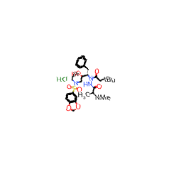 CN[C@@H](C)C(=O)NN(C(=O)CC(C)(C)C)[C@@H](Cc1ccccc1)[C@H](O)CN(CC(C)C)S(=O)(=O)c1ccc2c(c1)OCO2.Cl